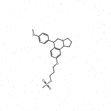 COc1ccc(C2CN3CCCC3c3cc(OCCCOS(C)(=O)=O)ccc32)cc1